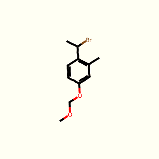 COCOc1ccc(C(C)Br)c(C)c1